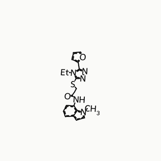 CCn1c(SCC(=O)Nc2cccc3ccn(C)c23)nnc1-c1ccco1